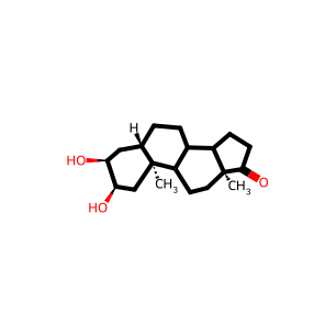 C[C@]12CCC3C(CC[C@H]4C[C@H](O)[C@H](O)C[C@]34C)C1CCC2=O